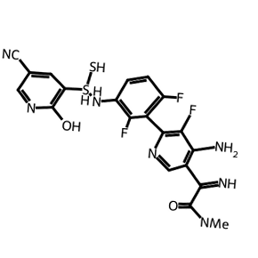 CNC(=O)C(=N)c1cnc(-c2c(F)ccc(N[SH](S)c3cc(C#N)cnc3O)c2F)c(F)c1N